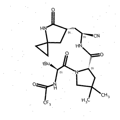 CC1(C)C[C@@H](C(=O)N[C@H](C#N)C[C@@H]2CC3(CC3)NC2=O)N(C(=O)[C@@H](NC(=O)C(F)(F)F)C(C)(C)C)C1